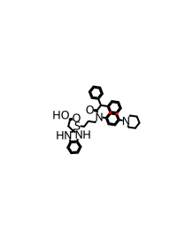 O=C(O)CC1(SCCCN(C(=O)C(c2ccccc2)c2ccccc2)c2ccc(N3CCCCC3)cc2)Nc2ccccc2N1